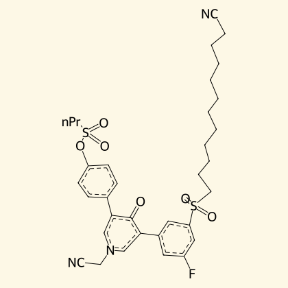 CCCS(=O)(=O)Oc1ccc(-c2cn(CC#N)cc(-c3cc(F)cc(S(=O)(=O)CCCCCCCCCCCC#N)c3)c2=O)cc1